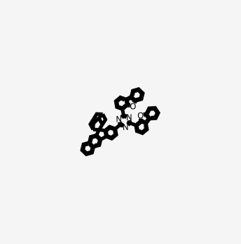 c1ccc2cc3c(cc2c1)-c1ccc(-c2nc(-c4cccc5c4oc4ccccc45)nc(-c4cccc5c4oc4ccccc45)n2)cc1C31C2CC3CC(C2)CC1C3